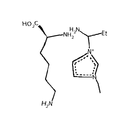 CCC(N)[n+]1ccn(C)c1.NCCCC[C@H](N)C(=O)O